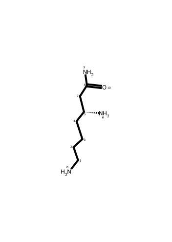 NCCCC[C@@H](N)CC(N)=O